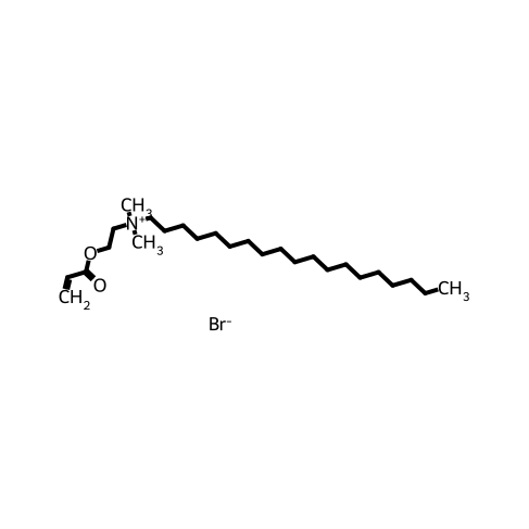 C=CC(=O)OCC[N+](C)(C)CCCCCCCCCCCCCCCCCCC.[Br-]